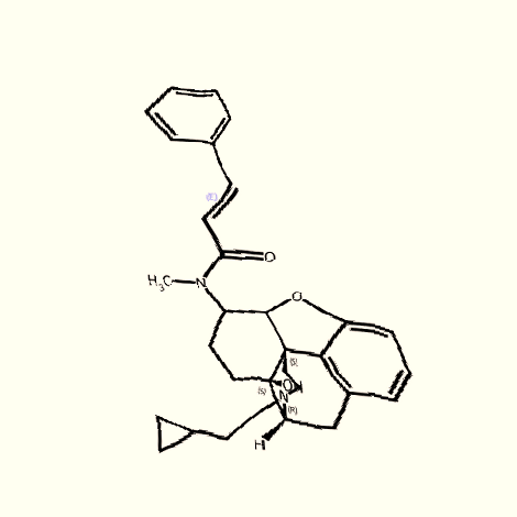 CN(C(=O)/C=C/c1ccccc1)C1CC[C@@]2(O)[C@H]3Cc4cccc5c4[C@@]2(CCN3CC2CC2)C1O5